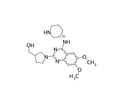 COc1cc2nc(N3CCC(CO)C3)nc(N[C@H]3CCCNC3)c2cc1OC